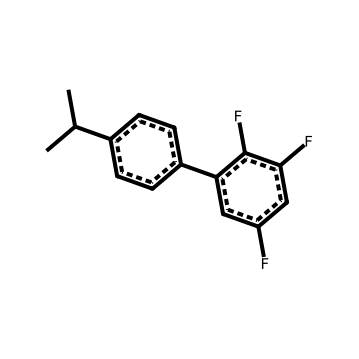 CC(C)c1ccc(-c2cc(F)cc(F)c2F)cc1